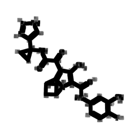 Cc1c(C(=O)C(=O)NC2(c3c[nH]nn3)CC2)c2n(c1C(=O)Nc1ccc(F)c(C#N)c1)C1CC2C1